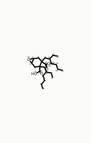 CCCCC(CC)CC1(C(=O)O)CC2OC2CC1(CC(CC)CCCC)C(=O)O